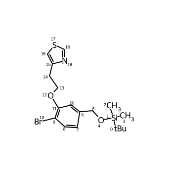 CC(C)(C)[Si](C)(C)OCc1ccc(Br)c(OCCc2cscn2)c1